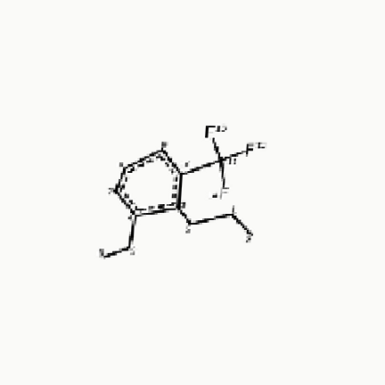 CCCc1c(CC)cccc1C(F)(F)F